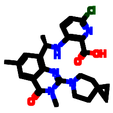 Cc1cc([C@@H](C)Nc2ccc(Cl)nc2C(=O)O)c2nc(N3CCC4(CC3)CC4)n(C)c(=O)c2c1